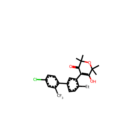 CCc1ccc(-c2ccc(Cl)cc2C(F)(F)F)cc1C1=C(O)C(C)(C)OC(C)(C)C1=O